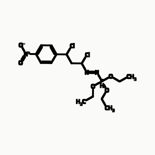 CCO[PH](N=NC(Cl)CC(Cl)c1ccc([N+](=O)[O-])cc1)(OCC)OCC